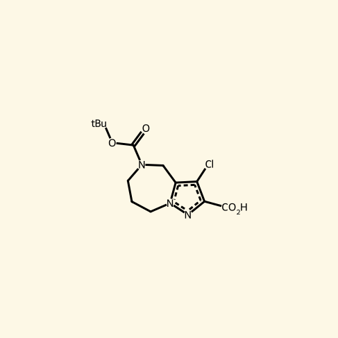 CC(C)(C)OC(=O)N1CCCn2nc(C(=O)O)c(Cl)c2C1